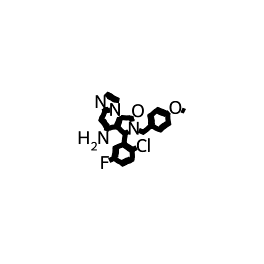 COc1ccc(CN2C(=O)c3c(c(N)cc4nccn34)C2c2cc(F)ccc2Cl)cc1